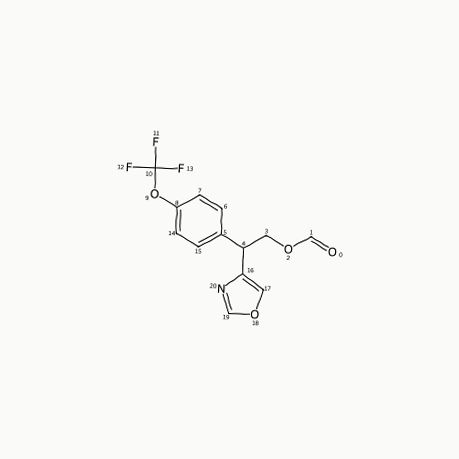 O=COCC(c1ccc(OC(F)(F)F)cc1)c1cocn1